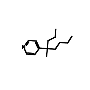 CCCCC(C)(CCC)c1ccncc1